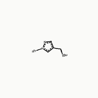 CCCn1cc(CC(C)(C)C)cn1